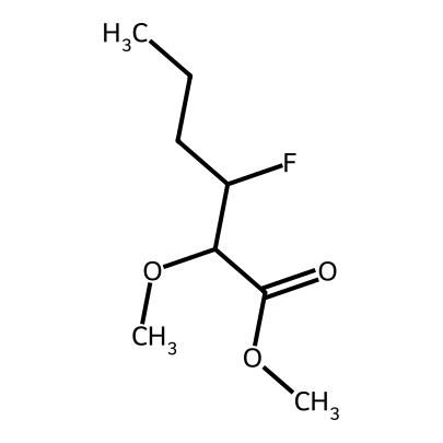 CCCC(F)C(OC)C(=O)OC